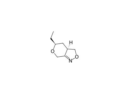 CC[C@H]1C[C@H]2CON=C2CO1